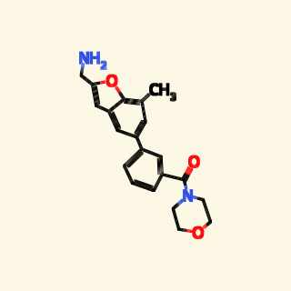 Cc1cc(-c2cccc(C(=O)N3CCOCC3)c2)cc2cc(CN)oc12